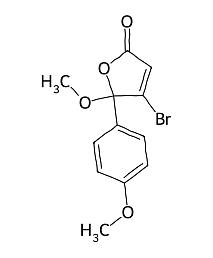 COc1ccc(C2(OC)OC(=O)C=C2Br)cc1